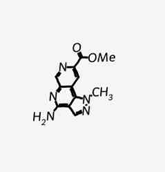 COC(=O)c1cc2c(cn1)nc(N)c1cnn(C)c12